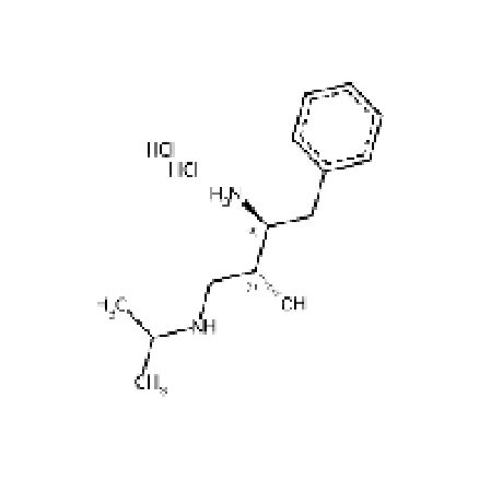 CC(C)NC[C@@H](O)[C@@H](N)Cc1ccccc1.Cl.Cl